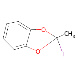 CC1(I)Oc2ccccc2O1